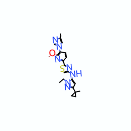 CCn1nc(C2(C)CC2)cc1Nc1csc(-c2ccc(-n3cnc(C)c3)c(OC)n2)n1